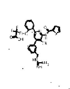 N#Cc1c(-c2cccc(CNC(=N)N)c2)cc(-c2ccccc2O)nc1NC(=O)c1cccs1.O=C(O)C(F)(F)F